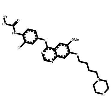 CCCNC(=O)Nc1ccc(Oc2ncnc3cc(OCCCCN4CCOCC4)c(OC)cc23)cc1Cl